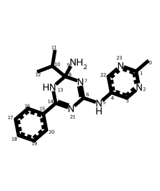 Cc1ncc(NC2=NC(N)(C(C)C)NC(c3ccccc3)=N2)cn1